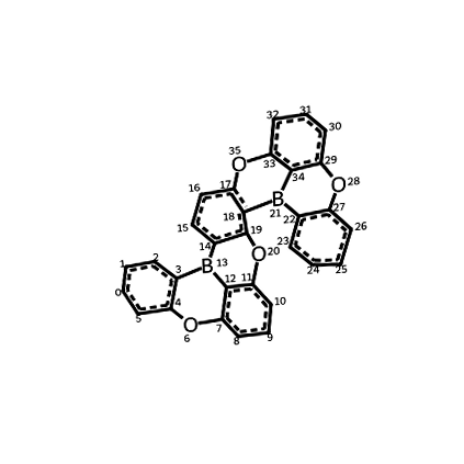 c1ccc2c(c1)Oc1cccc3c1B2c1ccc2c(c1O3)B1c3ccccc3Oc3cccc(c31)O2